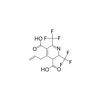 C=CCC1=C(C(=O)O)C(C(F)(F)F)=NC(C(F)(F)F)C1C(=O)O